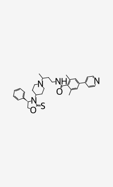 Cc1cc(-c2ccncc2)cc(C)c1C(=O)NCCC(C)N1CCC(N2C(=S)OC[C@H]2c2ccccc2)CC1